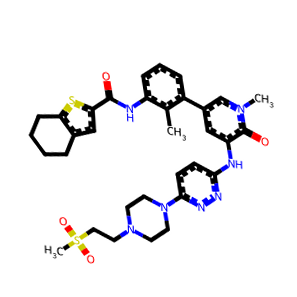 Cc1c(NC(=O)c2cc3c(s2)CCCC3)cccc1-c1cc(Nc2ccc(N3CCN(CCS(C)(=O)=O)CC3)nn2)c(=O)n(C)c1